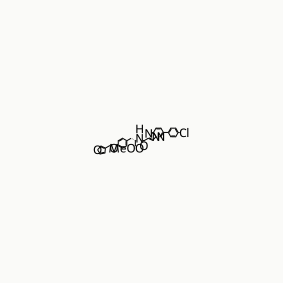 COC(=O)[C@H](Cc1ccc(OCc2ccoc2)cc1)NC(=O)c1cn2nc(-c3ccc(Cl)cc3)ccc2n1